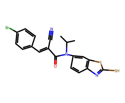 CC(C)N(C(=O)/C(C#N)=C/c1ccc(Br)cc1)c1ccc2nc(S)sc2c1